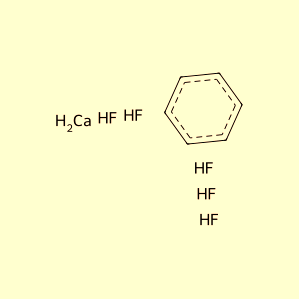 F.F.F.F.F.[CaH2].c1ccccc1